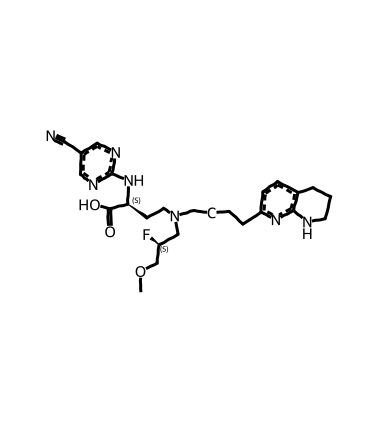 COC[C@@H](F)CN(CCCCc1ccc2c(n1)NCCC2)CC[C@H](Nc1ncc(C#N)cn1)C(=O)O